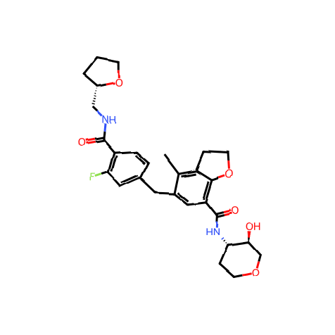 Cc1c(Cc2ccc(C(=O)NC[C@@H]3CCCO3)c(F)c2)cc(C(=O)N[C@H]2CCOC[C@@H]2O)c2c1CCO2